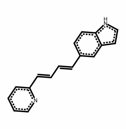 C(/C=C/c1ccccn1)=C\c1ccc2[nH]ccc2c1